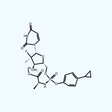 CC(=O)O[C@@H]1[C@@H](CO[P@@](=O)(N[C@@H](C)C(=O)OC(C)C)Oc2ccc(C3CC3)cc2)O[C@@H](n2ccc(=O)[nH]c2=O)[C@]1(C)F